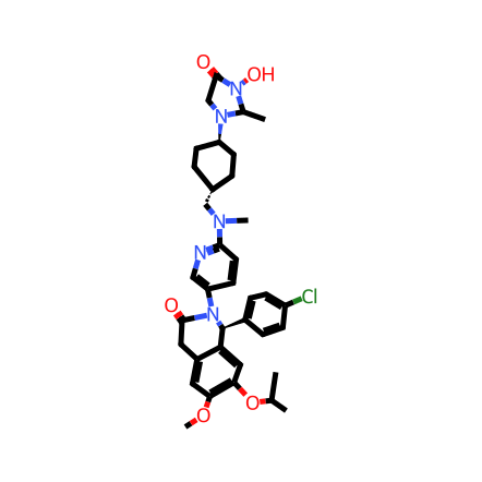 COc1cc2c(cc1OC(C)C)[C@H](c1ccc(Cl)cc1)N(c1ccc(N(C)C[C@H]3CC[C@H](N4CC(=O)N(O)C4C)CC3)nc1)C(=O)C2